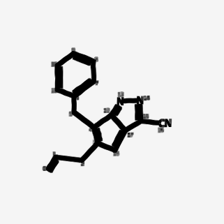 C=CCC1=C(Cc2ccccc2)C2=NN=C(C#N)C2=C1